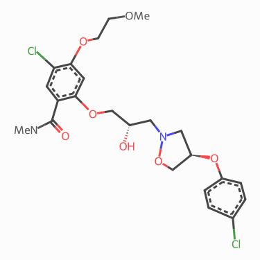 CNC(=O)c1cc(Cl)c(OCCOC)cc1OC[C@@H](O)CN1C[C@@H](Oc2ccc(Cl)cc2)CO1